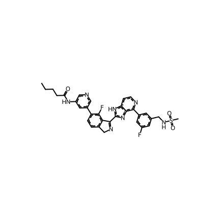 CCCCC(=O)Nc1cncc(-c2ccc3c(c2F)C(c2nc4c(-c5cc(F)cc(CNS(C)(=O)=O)c5)nccc4[nH]2)=NC3)c1